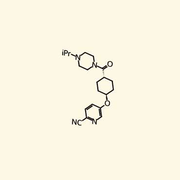 CC(C)N1CCN(C(=O)[C@H]2CC[C@H](Oc3ccc(C#N)nc3)CC2)CC1